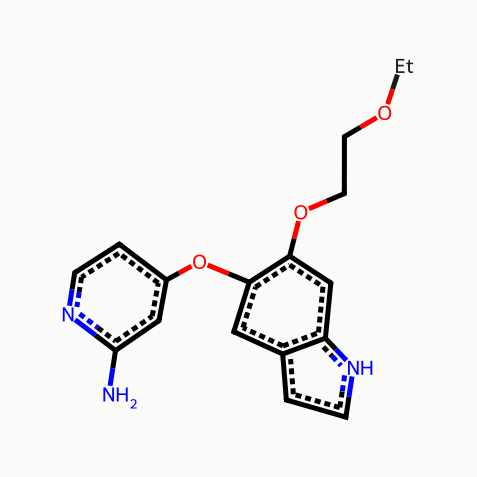 CCOCCOc1cc2[nH]ccc2cc1Oc1ccnc(N)c1